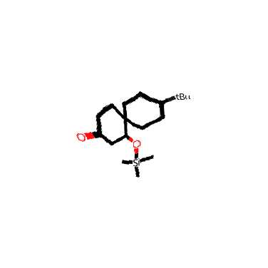 CC(C)(C)C1CCC2(CCC(=O)CC2O[Si](C)(C)C)CC1